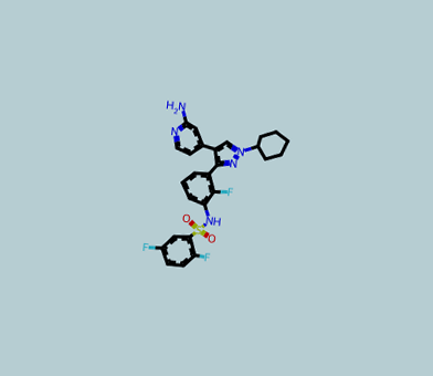 Nc1cc(-c2cn(C3CCCCC3)nc2-c2cccc(NS(=O)(=O)c3cc(F)ccc3F)c2F)ccn1